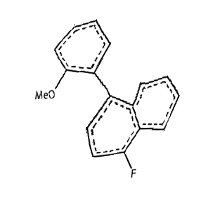 COc1c[c]ccc1-c1ccc(F)c2ccccc12